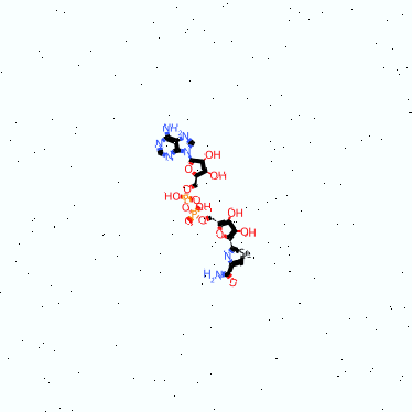 NC(=O)c1c[se]c([C@@H]2O[C@H](COP(=O)(O)OP(=O)(O)OC[C@H]3O[C@@H](n4cnc5c(N)ncnc54)[C@H](O)[C@@H]3O)[C@@H](O)[C@H]2O)n1